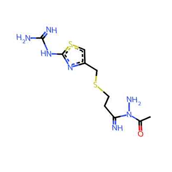 CC(=O)N(N)C(=N)CCSCc1csc(NC(=N)N)n1